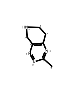 Cc1nnc2c(n1)CCNC2